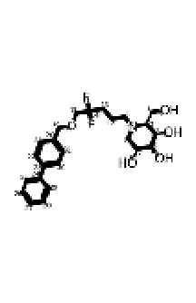 OC[C@H]1[C@@H](O)C(O)[C@@H](O)CN1CCCC(F)(F)COCc1ccc(-c2ccccc2)cc1